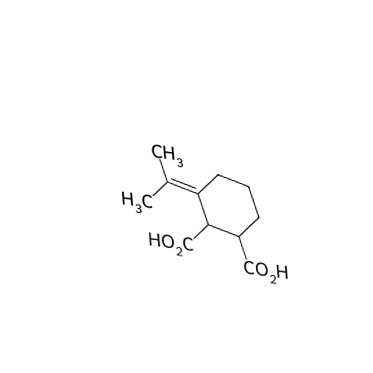 CC(C)=C1CCCC(C(=O)O)C1C(=O)O